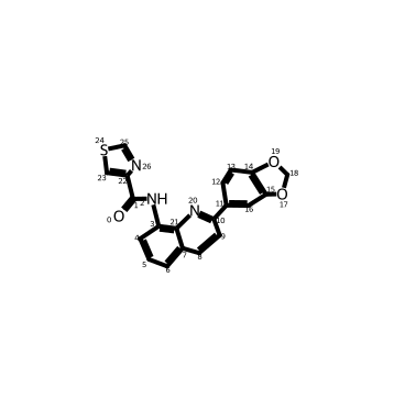 O=C(Nc1cccc2ccc(-c3ccc4c(c3)OCO4)nc12)c1cscn1